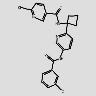 O=C(Nc1ccc(C2(NC(=O)c3ccc(Cl)nc3)CCC2)nc1)c1cccc(Cl)c1